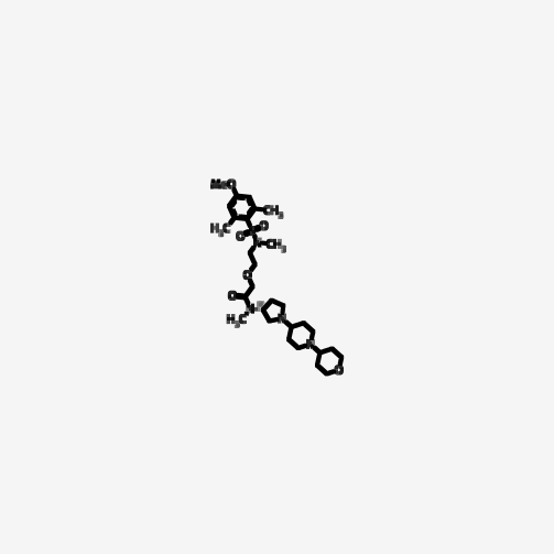 COc1cc(C)c(S(=O)(=O)N(C)CCOCC(=O)N(C)[C@@H]2CCN(C3CCN(C4CCOCC4)CC3)C2)c(C)c1